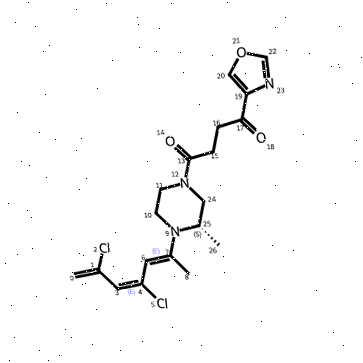 C=C(Cl)/C=C(Cl)\C=C(/C)N1CCN(C(=O)CCC(=O)c2cocn2)C[C@@H]1C